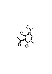 CC(=O)n1cc(C)c(=O)n(C(C)=O)c1=O